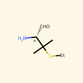 CCSC(C)(C)[C@H](N)[C]=O